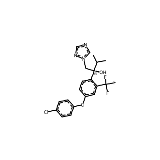 CC(C)[C@@](O)(Cn1cncn1)c1ccc(Oc2ccc(Cl)cc2)cc1C(F)(F)F